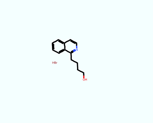 Br.OCCCCc1nccc2ccccc12